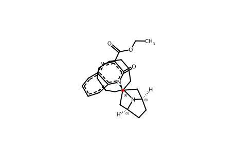 CCOC(=O)c1nc2ccccc2n([C@H]2C[C@H]3CC[C@@H](C2)N3C2CCCCCCCC2)c1=O